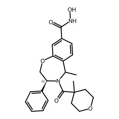 CC1c2ccc(C(=O)NO)cc2OC[C@H](c2ccccc2)N1C(=O)C1(C)CCOCC1